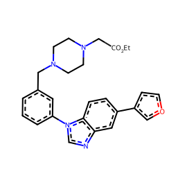 CCOC(=O)CN1CCN(Cc2cccc(-n3cnc4cc(-c5ccoc5)ccc43)c2)CC1